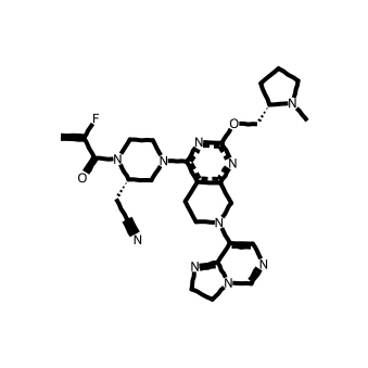 C=C(F)C(=O)N1CCN(c2nc(OC[C@@H]3CCCN3C)nc3c2CCN(C2=CN=CN4CCN=C24)C3)C[C@@H]1CC#N